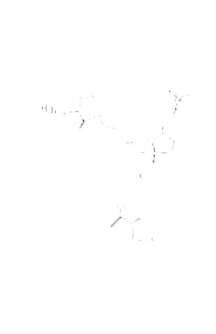 C=C(OCCCCCC1(CCCCCOC(=O)C(CCCCCC)CCCCCCCC)OCC(CCN(C)C)O1)C(CCCCCC)CCCCCCCC